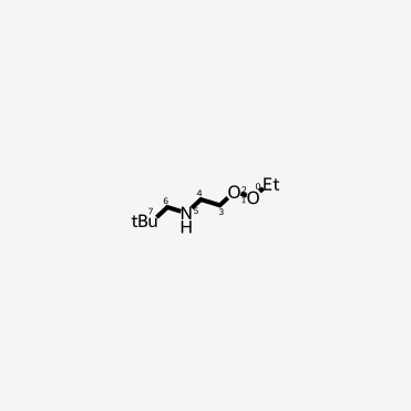 CCOOCCNCC(C)(C)C